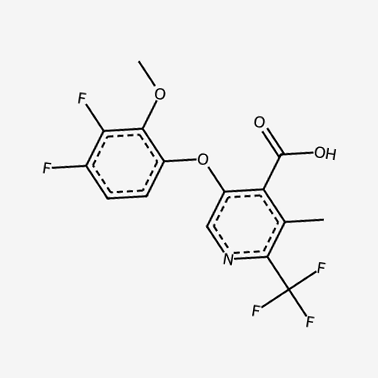 COc1c(Oc2cnc(C(F)(F)F)c(C)c2C(=O)O)ccc(F)c1F